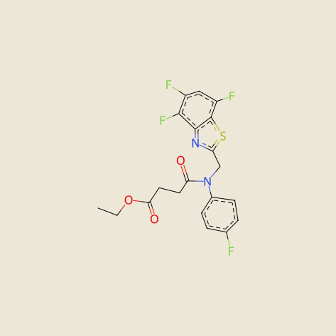 CCOC(=O)CCC(=O)N(Cc1nc2c(F)c(F)cc(F)c2s1)c1ccc(F)cc1